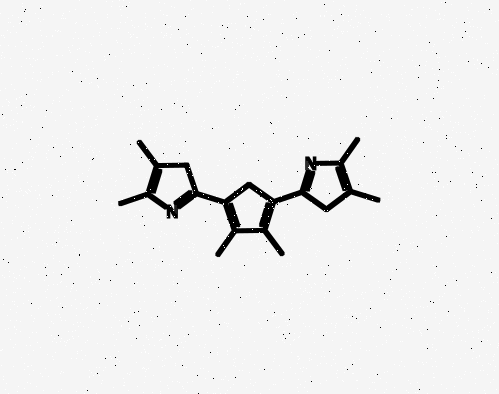 CC1=C(C)N=C(C2=C(C)C(C)=C(C3=NC(C)=C(C)C3)C2)C1